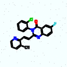 N#Cc1cccnc1/C=C/c1nc2ccc(F)cc2c(=O)n1-c1ccccc1Cl